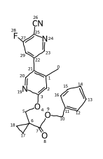 Cc1cc(OCC2(C(=O)OCc3ccccc3)CC2)ncc1-c1cnc(C#N)c(F)c1